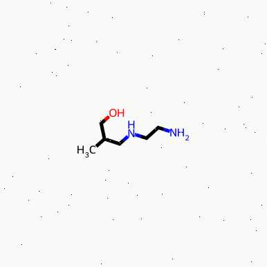 CC(CO)CNCCN